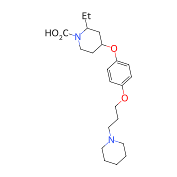 CCC1CC(Oc2ccc(OCCCN3CCCCC3)cc2)CCN1C(=O)O